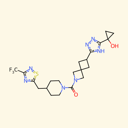 O=C(N1CCC(Cc2nc(C(F)(F)F)ns2)CC1)N1CC2(CC(c3nnc(C4(O)CC4)[nH]3)C2)C1